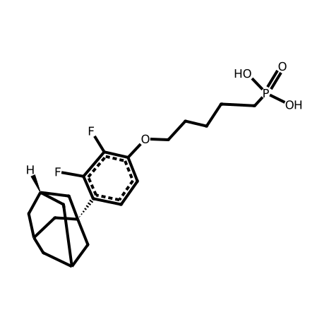 O=P(O)(O)CCCCCOc1ccc([C@]23CC4CC(C[C@H](C4)C2)C3)c(F)c1F